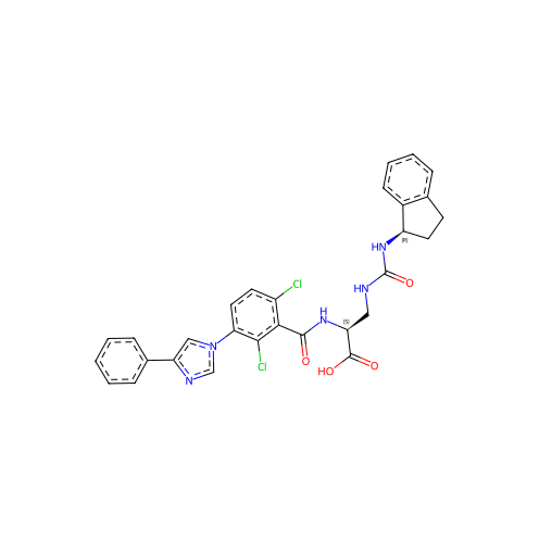 O=C(NC[C@H](NC(=O)c1c(Cl)ccc(-n2cnc(-c3ccccc3)c2)c1Cl)C(=O)O)N[C@@H]1CCc2ccccc21